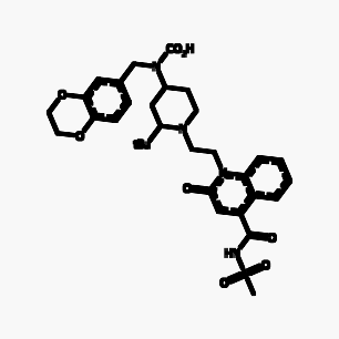 CC(C)(C)C1CC(N(Cc2ccc3c(c2)OCCO3)C(=O)O)CCN1CCn1c(=O)cc(C(=O)NS(C)(=O)=O)c2ccccc21